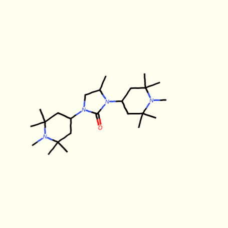 CC1CN(C2CC(C)(C)N(C)C(C)(C)C2)C(=O)N1C1CC(C)(C)N(C)C(C)(C)C1